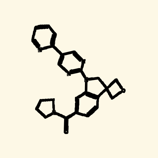 O=C(c1ccc2c(c1)N(c1ncc(-c3ccccn3)cn1)CC21COC1)N1CCCC1